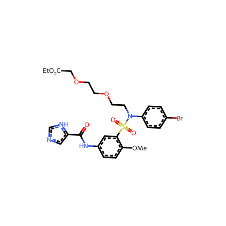 CCOC(=O)COCCOCCN(c1ccc(Br)cc1)S(=O)(=O)c1cc(NC(=O)c2cnc[nH]2)ccc1OC